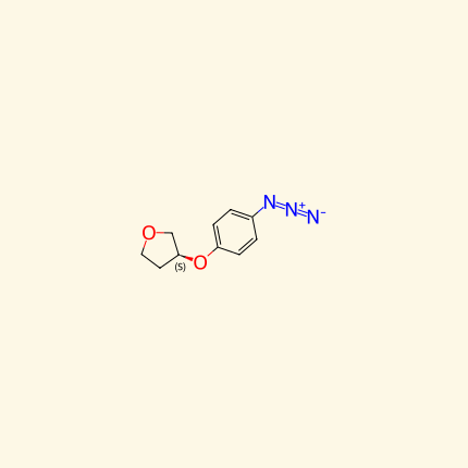 [N-]=[N+]=Nc1ccc(O[C@H]2CCOC2)cc1